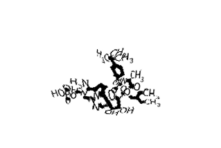 CCC(CC)COC(=O)[C@H](C)NP(=O)(OC[C@H]1O[C@@](C#N)(c2ccc3n2N=CN(COP(=O)(O)O)C3N)[C@H](O)[C@@H]1O)Oc1ccc(C(C)(C)C)cc1